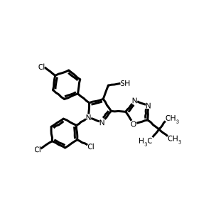 CC(C)(C)c1nnc(-c2nn(-c3ccc(Cl)cc3Cl)c(-c3ccc(Cl)cc3)c2CS)o1